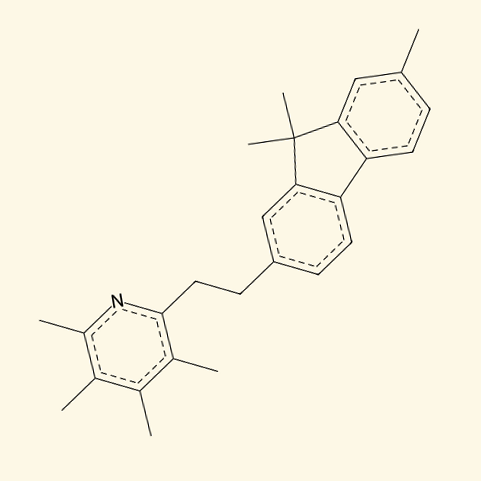 Cc1ccc2c(c1)C(C)(C)c1cc(CCc3nc(C)c(C)c(C)c3C)ccc1-2